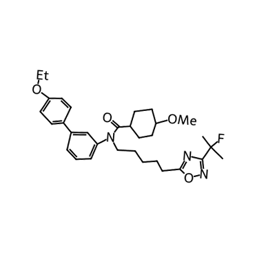 CCOc1ccc(-c2cccc(N(CCCCCc3nc(C(C)(C)F)no3)C(=O)C3CCC(OC)CC3)c2)cc1